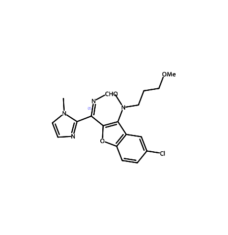 COCCCN(C)c1c(/C(=N\C=O)c2nccn2C)oc2ccc(Cl)cc12